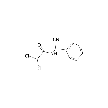 N#CC(NC(=O)C(Cl)Cl)c1ccccc1